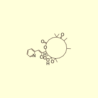 CC1CCCC2(C)OC2(O)C(O)C(C(Cl)=Cc2ccccn2)OC(=O)CCC(C)(C)C(=O)C(C)C1